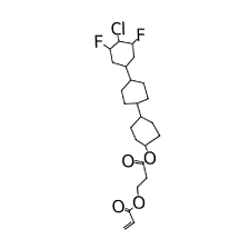 C=CC(=O)OCCC(=O)OC1CCC(C2CCC(C3CC(F)C(Cl)C(F)C3)CC2)CC1